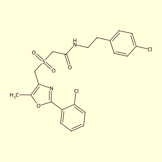 Cc1oc(-c2ccccc2Cl)nc1CS(=O)(=O)CC(=O)NCCc1ccc(Cl)cc1